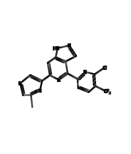 Cc1cncc(-c2cc3[nH]ncc3c(-c3ccc(C(F)(F)F)c(Cl)n3)n2)n1